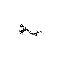 CCOC(=O)c1ccnc(C#CCOCCCCCCN(Cc2ccccc2)CC(O)c2cc(Cl)c(N)c(Cl)c2)c1